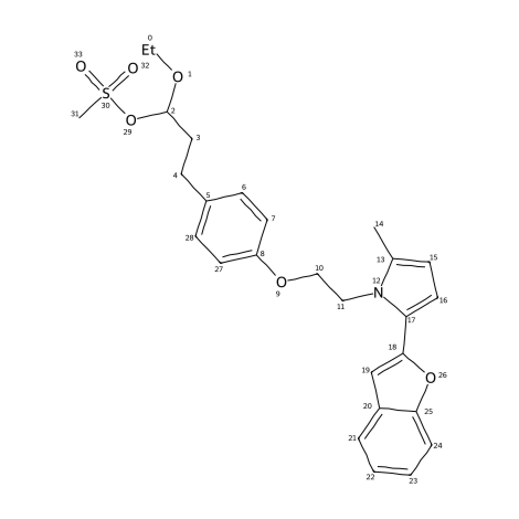 CCOC(CCc1ccc(OCCn2c(C)ccc2-c2cc3ccccc3o2)cc1)OS(C)(=O)=O